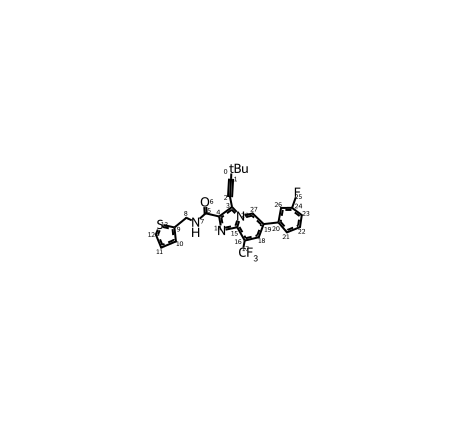 CC(C)(C)C#Cc1c(C(=O)NCc2cccs2)nc2c(C(F)(F)F)cc(-c3cccc(F)c3)cn12